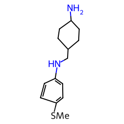 CSc1ccc(NCC2CCC(N)CC2)cc1